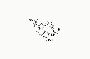 COc1cc2c(cc1NC(=O)CBr)-c1c(-c3cccs3)nc(C(=O)N(C)C(C)(C)C)n1CC2